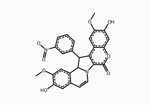 COc1cc2c(cc1O)C=CN1c3c(c4cc(OC)c(O)cc4oc3=O)C(c3cccc([N+](=O)[O-])c3)C21